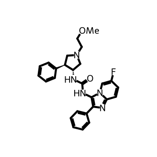 COCCN1C[C@H](NC(=O)Nc2c(-c3ccccc3)nc3ccc(F)cn23)[C@@H](c2ccccc2)C1